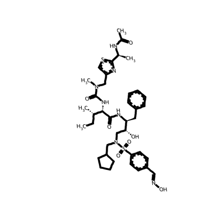 CC[C@H](C)[C@H](NC(=O)N(C)Cc1csc([C@H](C)NC(C)=O)n1)C(=O)N[C@@H](Cc1ccccc1)[C@H](O)CN(CC1CCCC1)S(=O)(=O)c1ccc(/C=N/O)cc1